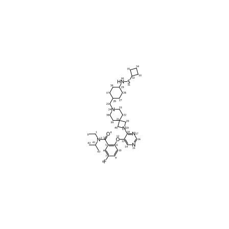 CCN(C(=O)c1cc(F)ccc1Oc1cncnc1N1CC2(CCN(CC3CCC(NSC4CCC4)CC3)CC2)C1)C(C)C